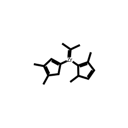 CC1=C(C)C[C]([Zr]([C]2=C(C)C=CC2C)=[C](C)C)=C1